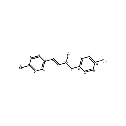 [O-][S+](/C=C/c1ccc(Cl)cc1)Cc1ccc(C(F)(F)F)cc1